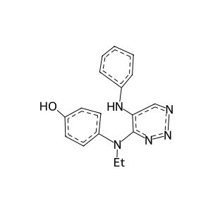 CCN(c1ccc(O)cc1)c1nnncc1Nc1ccccc1